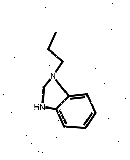 CCCN1CNc2ccccc21